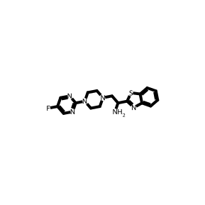 NC(CN1CCN(c2ncc(F)cn2)CC1)c1nc2ccccc2s1